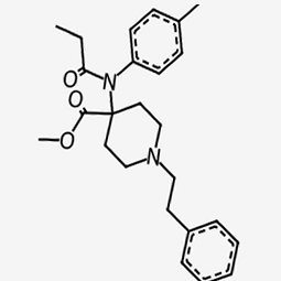 CCC(=O)N(c1ccc(C)cc1)C1(C(=O)OC)CCN(CCc2ccccc2)CC1